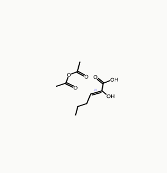 CC(=O)OC(C)=O.CCC/C=C(\O)C(=O)O